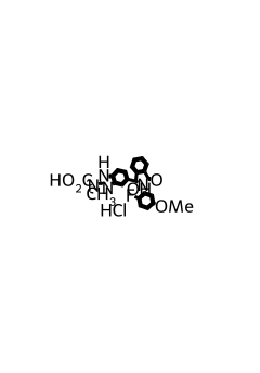 COc1ccc(F)c(N2C(=O)c3ccccc3C2(O)c2ccc3[nH]c(N(C)C(=O)O)nc3c2)c1.Cl